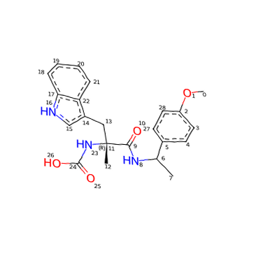 COc1ccc(C(C)NC(=O)[C@@](C)(Cc2c[nH]c3ccccc23)NC(=O)O)cc1